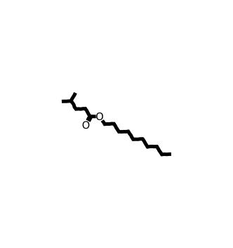 CCCCCCCCCCOC(=O)CCC(C)C